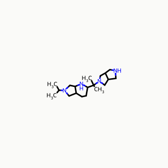 CC(C)N1CC2CCC(C(C)(C)N3CC4CNCC4C3)NC2C1